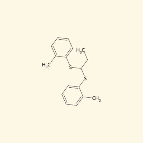 CCC(Sc1ccccc1C)Sc1ccccc1C